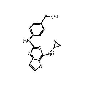 N#CCc1ccc(Nc2nc(NC3CC3)c3occc3n2)cc1